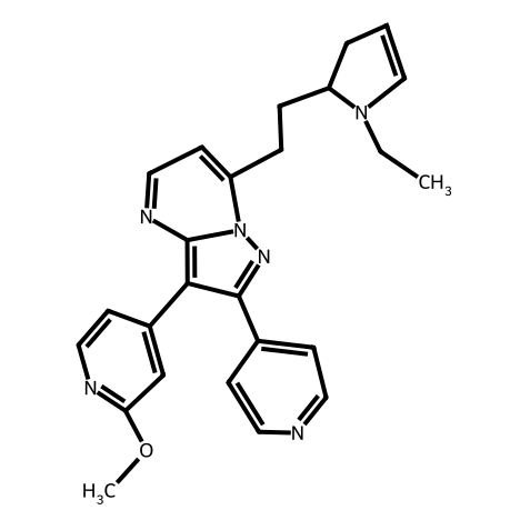 CCN1C=CCC1CCc1ccnc2c(-c3ccnc(OC)c3)c(-c3ccncc3)nn12